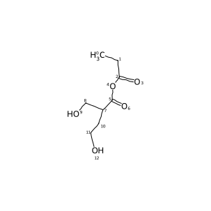 CCC(=O)OC(=O)C(CO)CCO